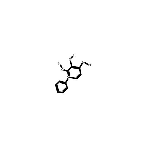 CCOc1cc[si](-c2ccccc2)c(OCC)c1OCC